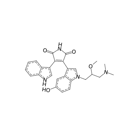 COC(CN(C)C)Cn1cc(C2=C(c3c[nH]c4ccccc34)C(=O)NC2=O)c2cc(O)ccc21